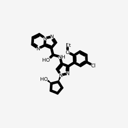 CCOc1ccc(Cl)cc1-c1nn([C@H]2CCC[C@H]2O)cc1NC(O)c1cnn2cccnc12